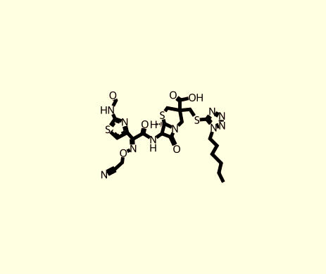 CCCCCCn1nnnc1SCC1(C(=O)O)CS[C@@H]2C(NC(=O)C(=NOCC#N)c3csc(NC=O)n3)C(=O)N2C1